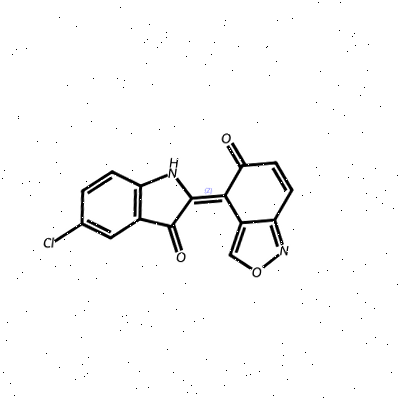 O=C1C=Cc2nocc2/C1=C1/Nc2ccc(Cl)cc2C1=O